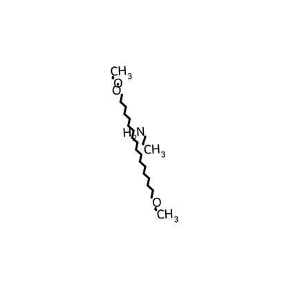 CCCN.CCOCCCCCCCCCCCCCCCCCCOOCC